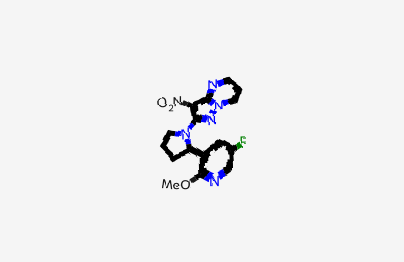 COc1ncc(F)cc1C1CCCN1c1nn2cccnc2c1[N+](=O)[O-]